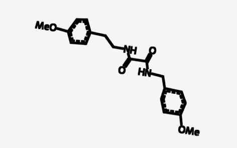 COc1ccc(CCNC(=O)C(=O)NCc2ccc(OC)cc2)cc1